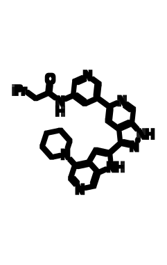 CC(C)CC(=O)Nc1cncc(-c2cc3c(-c4cc5c(N6CCCCC6)cncc5[nH]4)n[nH]c3cn2)c1